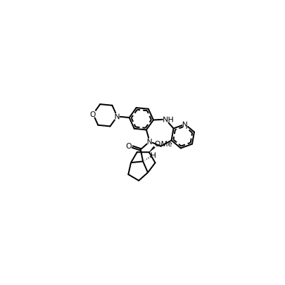 CO[C@H]1CC2CCC(C1)[C@H]2C(=O)N1Cc2cccnc2Nc2ccc(N3CCOCC3)cc21